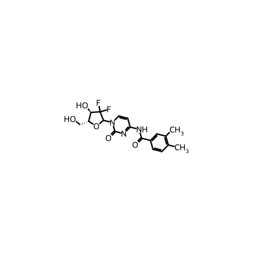 Cc1ccc(C(=O)Nc2ccn(C3O[C@H](CO)[C@@H](O)C3(F)F)c(=O)n2)cc1C